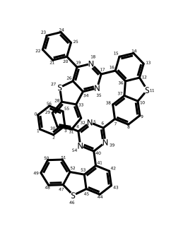 c1ccc(-c2nc(-c3ccc4sc5cccc(-c6nc(-c7ccccc7)c7sc8ccccc8c7n6)c5c4c3)nc(-c3cccc4sc5ccccc5c34)n2)cc1